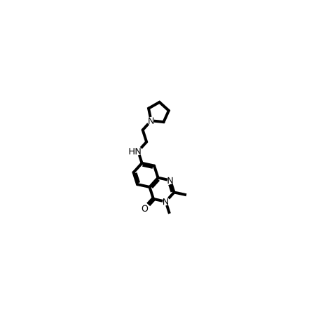 Cc1nc2cc(NCCN3CCCC3)ccc2c(=O)n1C